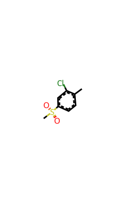 Cc1ccc(S(C)(=O)=O)cc1Cl